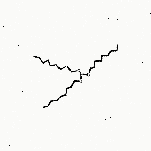 CCCCCCCCCOP(OCCCCCCCCC)OCCCCCCCCC